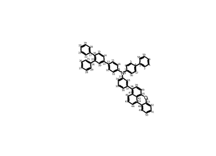 c1ccc(-c2ccc(N(c3ccc(-c4ccc(-c5ccccc5)c(-c5ccccc5)c4)cc3)c3cccc(-c4ccc5c6c(cccc46)-c4ccccc4O5)c3)cc2)cc1